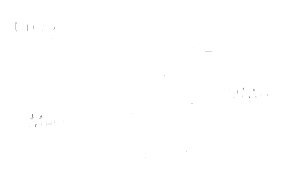 CCOC(=O)C1=C(OC)C(=O)C(C)(C(=O)OC)C1